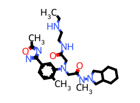 CCNCCNC(=O)CN(CC(=O)N(C)N1CC2CCCCC2C1)c1cc(-c2noc(C)n2)ccc1C